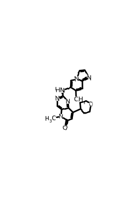 Cc1cc2nccn2cc1Nc1ncc2c(n1)c(C1CCOCC1)cc(=O)n2C